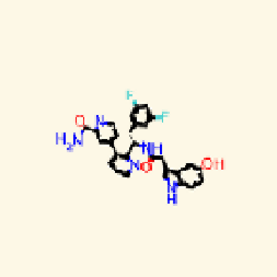 NC(=O)c1cc(-c2cccnc2[C@H](Cc2cc(F)cc(F)c2)NC(=O)Cc2c[nH]c3ccc(O)cc23)ccn1